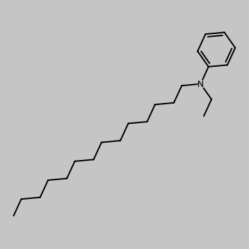 CCCCCCCCCCCCCCN(CC)c1ccccc1